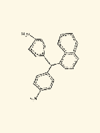 Nc1ccc(C(c2ccc(N)cc2)c2cccc3ccccc23)cc1